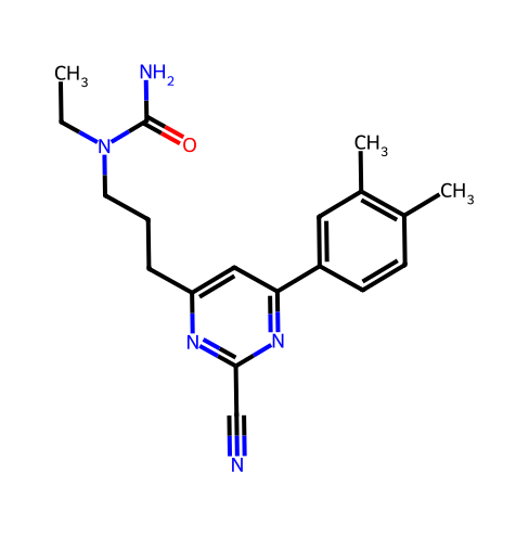 CCN(CCCc1cc(-c2ccc(C)c(C)c2)nc(C#N)n1)C(N)=O